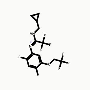 Cc1cc(F)c(/N=C(/NCC2CC2)C(F)(F)F)cc1SCC(F)(F)F